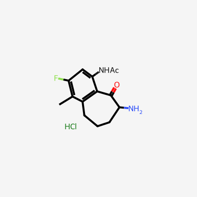 CC(=O)Nc1cc(F)c(C)c2c1C(=O)C(N)CCC2.Cl